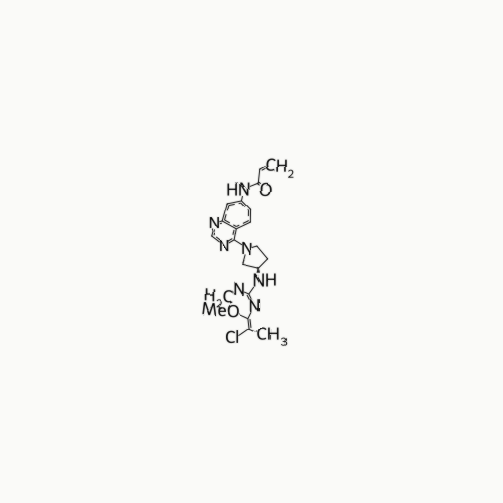 C=CC(=O)Nc1ccc2c(N3CC[C@@H](N/C(N=C)=N/C(OC)=C(\C)Cl)C3)ncnc2c1